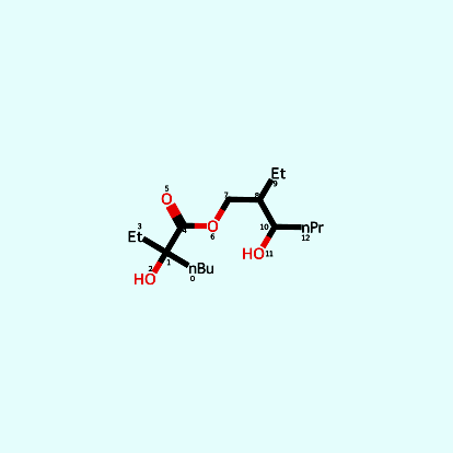 CCCCC(O)(CC)C(=O)OCC(CC)C(O)CCC